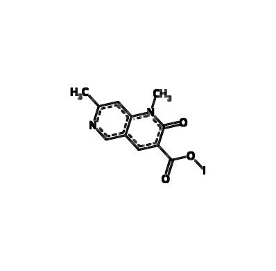 Cc1cc2c(cn1)cc(C(=O)OI)c(=O)n2C